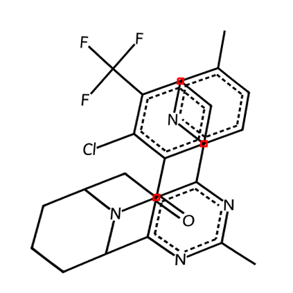 Cc1ccc(-c2nc(C)nc3c2CC2CCCC3N2C(=O)c2cccc(C(F)(F)F)c2Cl)nc1